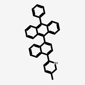 CC1=CC=C(c2ccc(-c3c4ccccc4c(-c4ccccc4)c4ccccc34)c3ccccc23)NC1